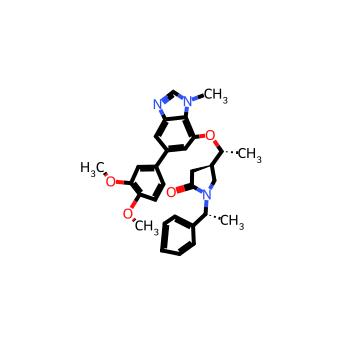 COc1ccc(-c2cc(O[C@H](C)[C@@H]3CC(=O)N([C@H](C)c4ccccc4)C3)c3c(c2)ncn3C)cc1OC